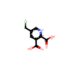 O=C(O)c1cc(CCl)cnc1C(=O)O